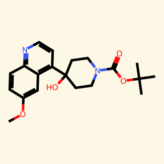 COc1ccc2nccc(C3(O)CCN(C(=O)OC(C)(C)C)CC3)c2c1